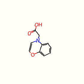 O=C(O)CN1C=COc2ccccc21